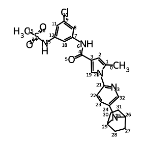 Cc1cc(C(=O)Nc2cc(Cl)cc(NS(C)(=O)=O)c2)cn1-c1ccc(N2C3CCC2CC3)cn1